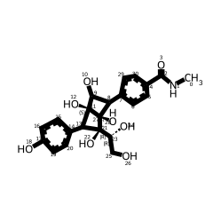 CNC(=O)c1ccc(C2C(O)[C@@]3(O)C(c4ccc(O)cc4)[C@@](O)([C@H](O)CO)[C@@]23O)cc1